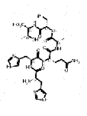 CC(C)C[C@H](NC(=O)[C@H](C)NC(=O)[C@H](CCC(N)=O)NC(=O)[C@H](Cc1c[nH]cn1)NC(=O)[C@@H](N)Cc1c[nH]cn1)C(=O)N[C@H](C(=O)O)[C@@H](C)O